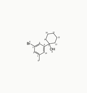 Cc1cc(Br)cc(C2(O)CCCCC2)c1